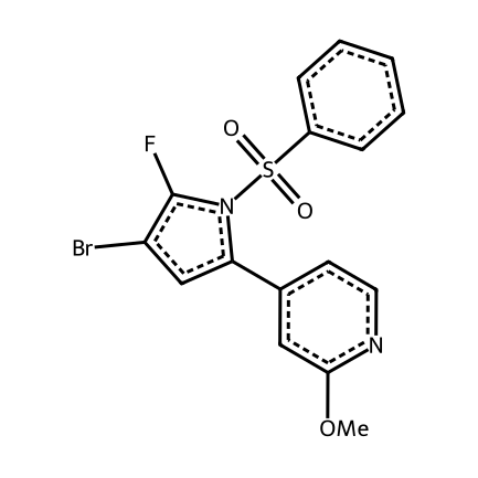 COc1cc(-c2cc(Br)c(F)n2S(=O)(=O)c2ccccc2)ccn1